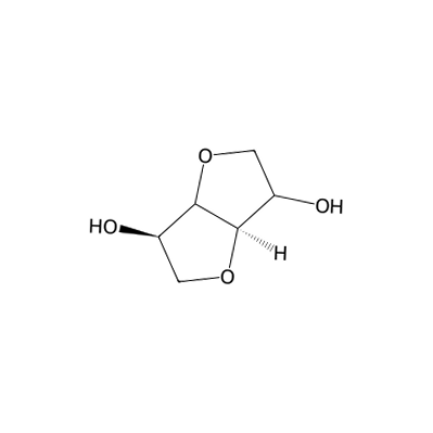 OC1COC2[C@@H]1OC[C@H]2O